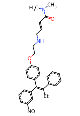 CC/C(=C(/c1ccc(OCCNC/C=C/C(=O)N(C)C)cc1)c1cccc(N=O)c1)c1ccccc1